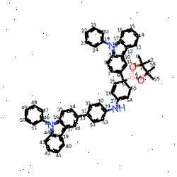 CC1(C)OB(C2(c3ccc4c(c3)c3ccccc3n4-c3ccccc3)C=CC(Nc3ccc(-c4ccc5c(c4)c4ccccc4n5-c4ccccc4)cc3)=CC2)OC1(C)C